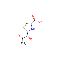 CC(=O)C(=O)C1NC(C(=O)O)CS1